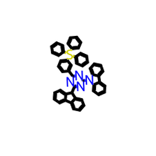 c1ccc(S(c2ccccc2)(c2ccccc2)c2cccc(-c3nc(C4c5ccccc5-c5ccccc54)nc(-n4c5ccccc5c5ccccc54)n3)c2)cc1